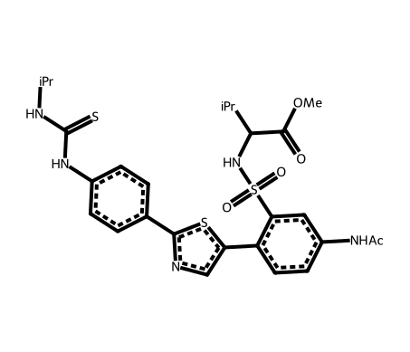 COC(=O)C(NS(=O)(=O)c1cc(NC(C)=O)ccc1-c1cnc(-c2ccc(NC(=S)NC(C)C)cc2)s1)C(C)C